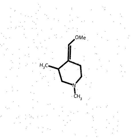 CO/C=C1\CCN(C)CC1C